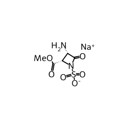 COC(=O)[C@@H]1[C@H](N)C(=O)N1S(=O)(=O)[O-].[Na+]